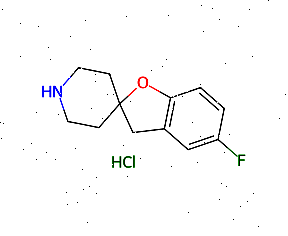 Cl.Fc1ccc2c(c1)CC1(CCNCC1)O2